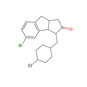 CCC1CCC(CC2C(=O)CC3Cc4ccc(Br)cc4C32)CC1